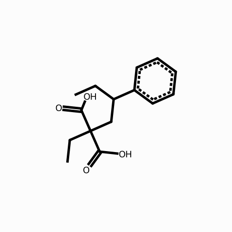 CCC(CC(CC)(C(=O)O)C(=O)O)c1ccccc1